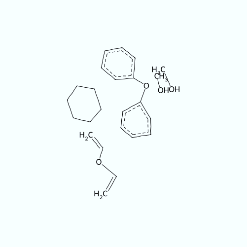 C1CCCCC1.C=COC=C.CO.CO.c1ccc(Oc2ccccc2)cc1